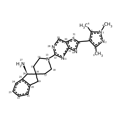 Cc1nn(C)c(C)c1-c1nc2nc(N3CCC4(CC3)Cc3ccccc3[C@H]4N)ncc2s1